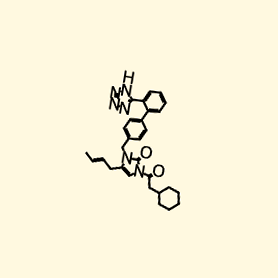 CC=CCc1cn(C(=O)CC2CCCCC2)c(=O)n1Cc1ccc(-c2ccccc2-c2nnn[nH]2)cc1